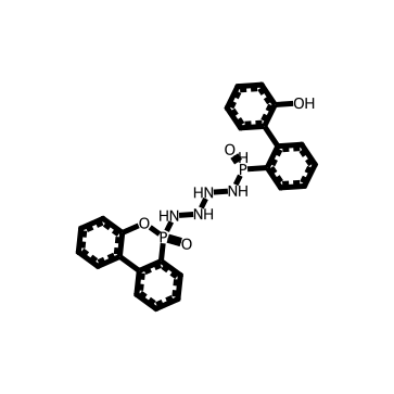 O=[PH](NNNNP1(=O)Oc2ccccc2-c2ccccc21)c1ccccc1-c1ccccc1O